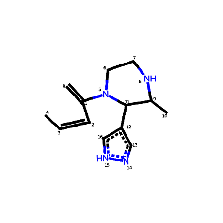 C=C(/C=C\C)N1CCNC(C)C1c1cn[nH]c1